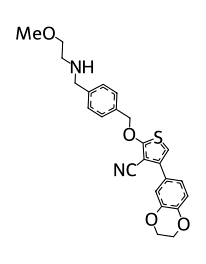 COCCNCc1ccc(COc2scc(-c3ccc4c(c3)OCCO4)c2C#N)cc1